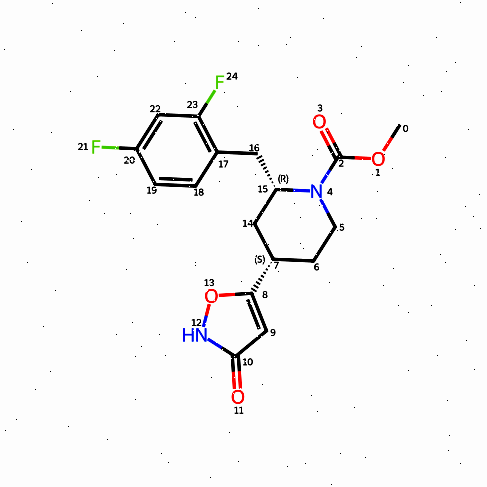 COC(=O)N1CC[C@H](c2cc(=O)[nH]o2)C[C@@H]1Cc1ccc(F)cc1F